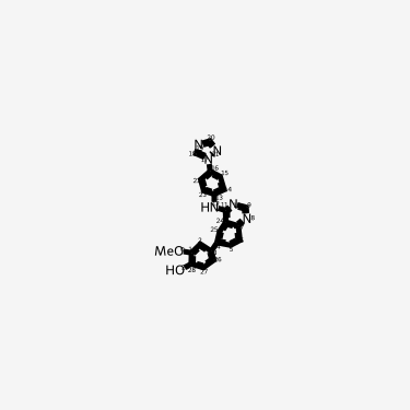 COc1cc(-c2ccc3ncnc(Nc4ccc(-n5cncn5)cc4)c3c2)ccc1O